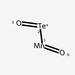 [O]=[Mn][Te+]=O